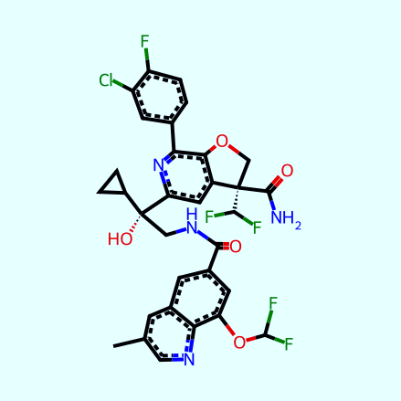 Cc1cnc2c(OC(F)F)cc(C(=O)NC[C@](O)(c3cc4c(c(-c5ccc(F)c(Cl)c5)n3)OC[C@]4(C(N)=O)C(F)F)C3CC3)cc2c1